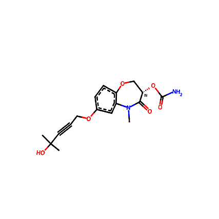 CN1C(=O)[C@@H](OC(N)=O)COc2ccc(OCC#CC(C)(C)O)cc21